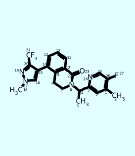 Cc1cc(C(C)N2CCc3c(cccc3-c3cn(C)nc3C(F)(F)F)C2=O)ncc1F